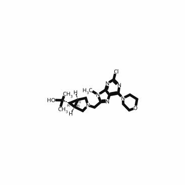 Cn1c(CN2C[C@@H]3[C@H](C2)[C@H]3C(C)(C)O)nc2c(N3CCOCC3)nc(Cl)nc21